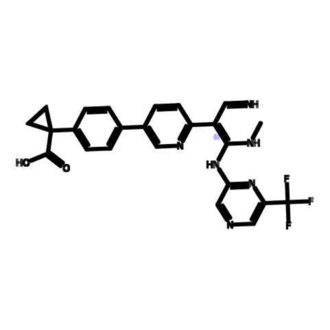 CN/C(Nc1cncc(C(F)(F)F)n1)=C(\C=N)c1ccc(-c2ccc(C3(C(=O)O)CC3)cc2)cn1